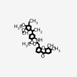 C=C(c1ccc(OC)c(NC(=O)Cc2cccc3c(=O)c4ccc(C)c(C)c4oc23)c1)c1cc(CC)c(OC)c(OC)c1